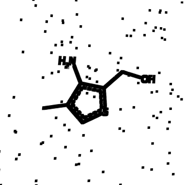 Cc1csc(CO)c1N